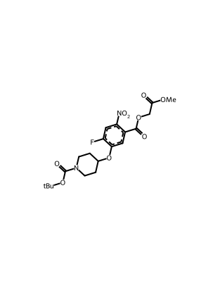 COC(=O)COC(=O)c1cc(OC2CCN(C(=O)OC(C)(C)C)CC2)c(F)cc1[N+](=O)[O-]